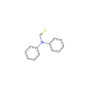 S=CN(c1ccccc1)c1ccccc1